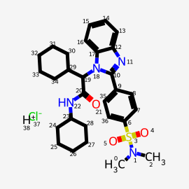 CN(C)S(=O)(=O)c1ccc(-c2nc3ccccc3n2C(C(=O)NC2CCCCC2)C2CCCCC2)cc1.[Cl-].[H+]